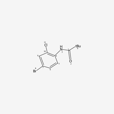 CC(C)(C)C(=O)Nc1ccc(Br)cc1Cl